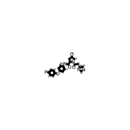 O=C1CC(C(=O)Nc2ccc(Oc3ccc(F)cc3)cc2)N(C(=O)Cn2cncn2)C1